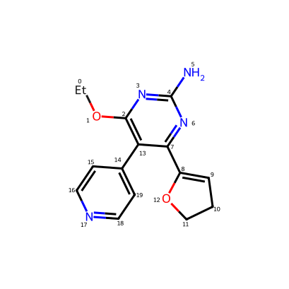 CCOc1nc(N)nc(C2=CCCO2)c1-c1ccncc1